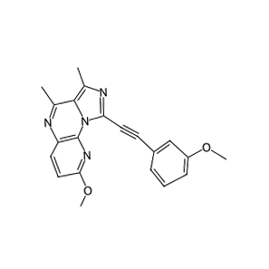 COc1cccc(C#Cc2nc(C)c3c(C)nc4ccc(OC)nc4n23)c1